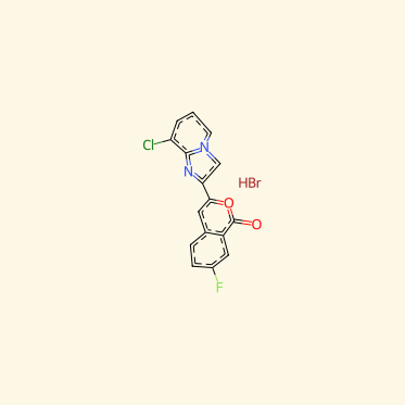 Br.O=c1oc(-c2cn3cccc(Cl)c3n2)cc2ccc(F)cc12